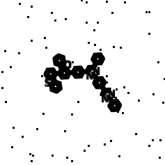 c1ccc(-c2cc(-c3ccc(-c4ccc(-c5cccc6sc7ccccc7c56)c5c4oc4ccccc45)cc3)nc(-c3ccc(-c4cnc(-c5ccccc5)nc4)cc3)n2)cc1